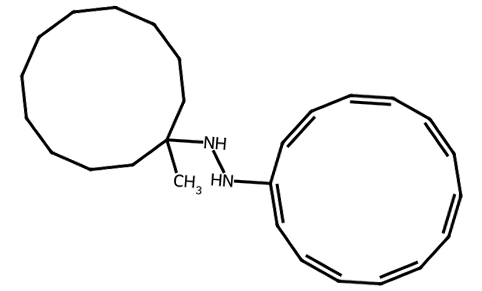 CC1(NNc2ccccccccccccc2)CCCCCCCCCCC1